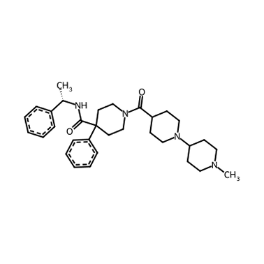 C[C@H](NC(=O)C1(c2ccccc2)CCN(C(=O)C2CCN(C3CCN(C)CC3)CC2)CC1)c1ccccc1